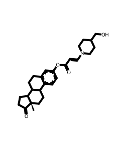 C[C@]12CCC3c4ccc(OC(=O)C=CN5CCC(CO)CC5)cc4CCC3C1CCC2=O